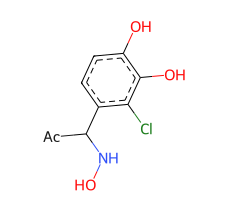 CC(=O)C(NO)c1ccc(O)c(O)c1Cl